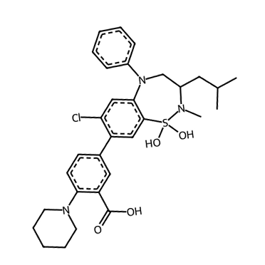 CC(C)CC1CN(c2ccccc2)c2cc(Cl)c(-c3ccc(N4CCCCC4)c(C(=O)O)c3)cc2S(O)(O)N1C